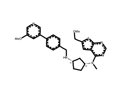 COCc1cc2c(N(C)[C@@H]3CC[C@H](NCc4ccc(-c5cncc(OC)c5)cc4)C3)ncnc2s1